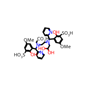 COc1cc(C(c2ccccn2)N(CCN(CC(O)O)C(c2ccccn2)c2cc(OC)cc(S(=O)(=O)O)c2O)CC(=O)O)c(O)c(S(=O)(=O)O)c1